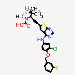 CN(C(=O)O)C(C#Cc1cc2c(Nc3ccc(OCc4cccc(F)c4)c(Cl)c3)ncnc2s1)C(C)(C)C